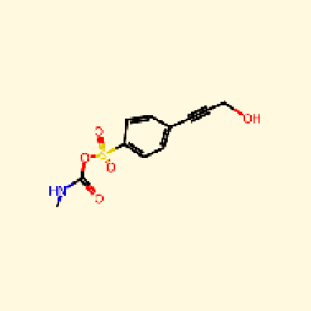 CNC(=O)OS(=O)(=O)c1ccc(C#CCO)cc1